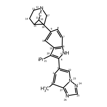 Cc1cc(-c2[nH]c3ccc(C4CN5CCC4CC5)cc3c2C(C)C)cn2ncnc12